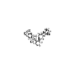 CS(=O)(=O)c1ccc(C(=O)Nc2ccccc2N2CCC(Oc3cnccn3)CC2)cc1